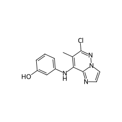 Cc1c(Cl)nn2ccnc2c1Nc1cccc(O)c1